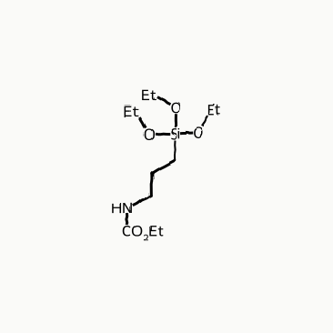 [CH2]COC(=O)NCCC[Si](OCC)(OCC)OCC